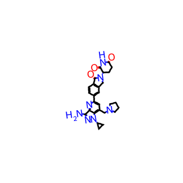 Nc1nn(C2CC2)c2c(CN3CCCC3)cc(-c3ccc4c(c3)CN(C3CCC(=O)NC3=O)C4=O)nc12